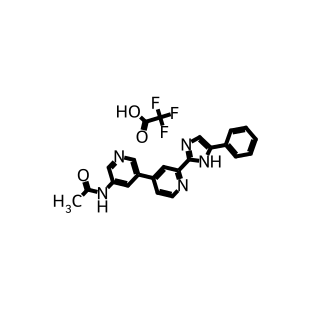 CC(=O)Nc1cncc(-c2ccnc(-c3ncc(-c4ccccc4)[nH]3)c2)c1.O=C(O)C(F)(F)F